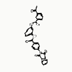 CC(=O)c1cccc(C(=O)Nc2cccc(OC(=O)c3ccc(N4C(=O)C5C6C=CC(C6)C5C4=O)cc3)c2)c1